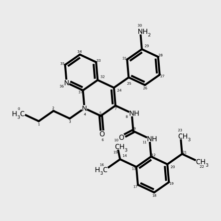 CCCCn1c(=O)c(NC(=O)Nc2c(C(C)C)cccc2C(C)C)c(-c2cccc(N)c2)c2cccnc21